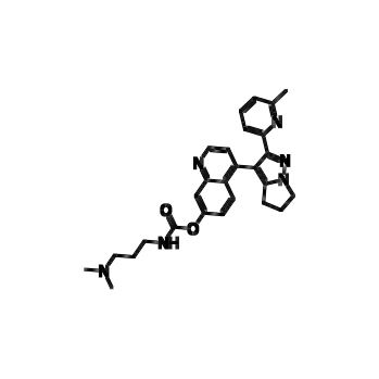 Cc1cccc(-c2nn3c(c2-c2ccnc4cc(OC(=O)NCCCN(C)C)ccc24)CCC3)n1